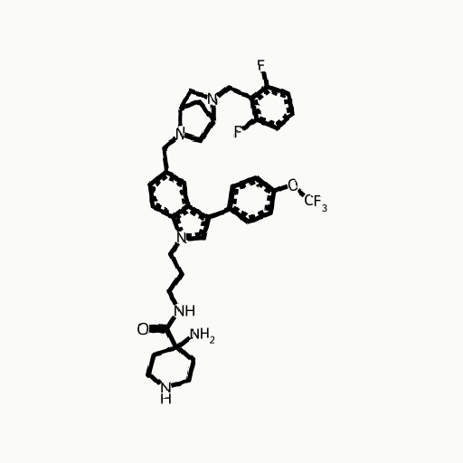 NC1(C(=O)NCCCn2cc(-c3ccc(OC(F)(F)F)cc3)c3cc(CN4CC5CC4CN5Cc4c(F)cccc4F)ccc32)CCNCC1